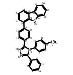 CC(C)(C)c1ccc(-n2c(-c3ccccc3)nnc2-c2ccc(-c3cccc4c3sc3ccccc34)cc2)cc1